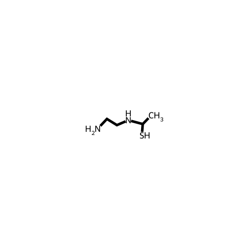 CC(S)NCCN